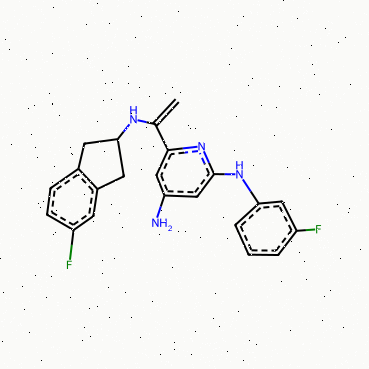 C=C(NC1Cc2ccc(F)cc2C1)c1cc(N)cc(Nc2cccc(F)c2)n1